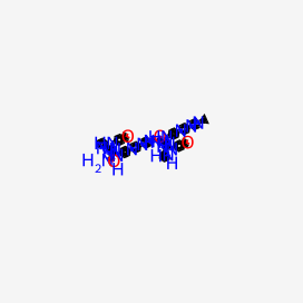 NC(=O)c1nc(-c2ccccn2)c(NC2CCC3(CC2)COC3)nc1Nc1ccc(N2CCC(N3CCN(CNC(=O)c4nc(-c5ccccn5)c(NC5CCC6(CC5)COC6)nc4Nc4ccc(N5CCC(N6CCN(C7CC7)CC6)CC5)cc4)CC3)CC2)cc1